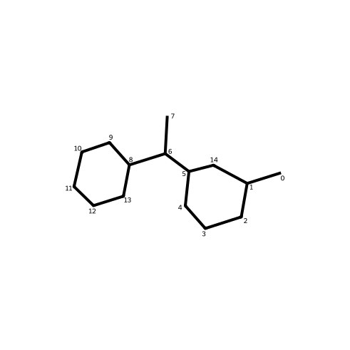 CC1CCCC(C(C)C2CCCCC2)C1